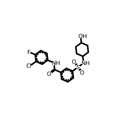 O=C(Nc1ccc(F)c(Cl)c1)c1cccc(S(=O)(=O)NC2CCC(O)CC2)c1